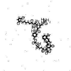 CC[C@@]1(OC(=O)CCC(F)(F)CNC(=O)OCc2ccc(NC(=O)[C@H](CCCNC(N)=O)NC(=O)[C@@H](NC(=O)CCCCCN3C(=O)C=CC3=O)C(C)C)cc2)C(=O)OCc2c1cc1n(c2=O)Cc2cc3c(Br)cccc3nc2-1